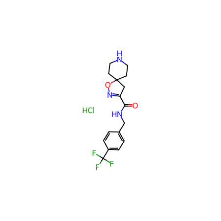 Cl.O=C(NCc1ccc(C(F)(F)F)cc1)C1=NOC2(CCNCC2)C1